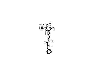 CC(C)NC(=O)N[C@@H](CCCCNC(=O)NCc1ccccc1)C(=O)O